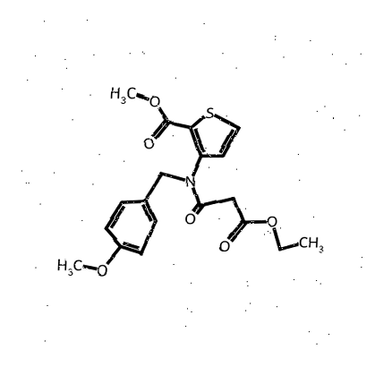 CCOC(=O)CC(=O)N(Cc1ccc(OC)cc1)c1ccsc1C(=O)OC